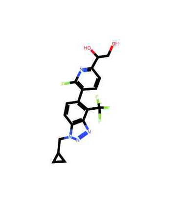 OCC(O)c1ccc(-c2ccc3c(nnn3CC3CC3)c2C(F)(F)F)c(F)n1